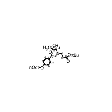 CCCCCCCCOc1ccc(C2CN(CCC(=O)OC(C)(C)C)CC(C)(C)O2)cc1